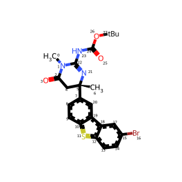 CN1C(=O)C[C@@](C)(c2ccc3sc4ccc(Br)cc4c3c2)N=C1NC(=O)OC(C)(C)C